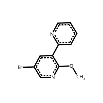 COc1ncc(Br)cc1-c1ccccn1